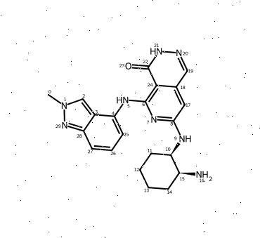 Cn1cc2c(Nc3nc(N[C@@H]4CCCC[C@@H]4N)cc4cn[nH]c(=O)c34)cccc2n1